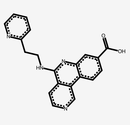 O=C(O)c1ccc2c(c1)nc(NCCc1ccccn1)c1ccncc12